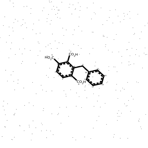 O=C(O)c1ccc(C(=O)O)c(C(=O)O)c1Cc1ccccc1